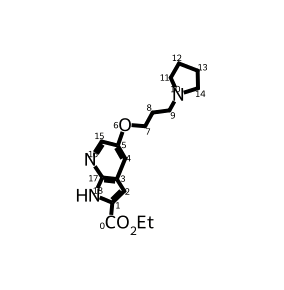 CCOC(=O)c1cc2cc(OCCCN3CCCC3)cnc2[nH]1